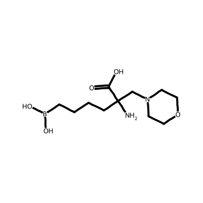 NC(CCCCB(O)O)(CN1CCOCC1)C(=O)O